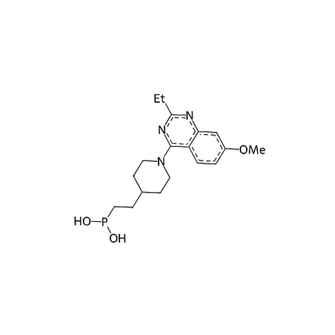 CCc1nc(N2CCC(CCP(O)O)CC2)c2ccc(OC)cc2n1